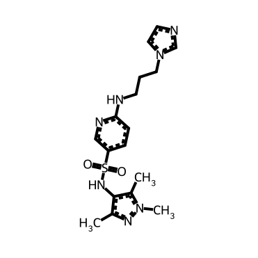 Cc1nn(C)c(C)c1NS(=O)(=O)c1ccc(NCCCn2ccnc2)nc1